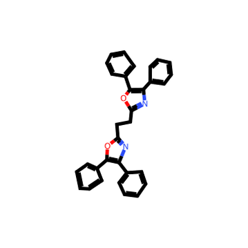 c1ccc(-c2nc(CCc3nc(-c4ccccc4)c(-c4ccccc4)o3)oc2-c2ccccc2)cc1